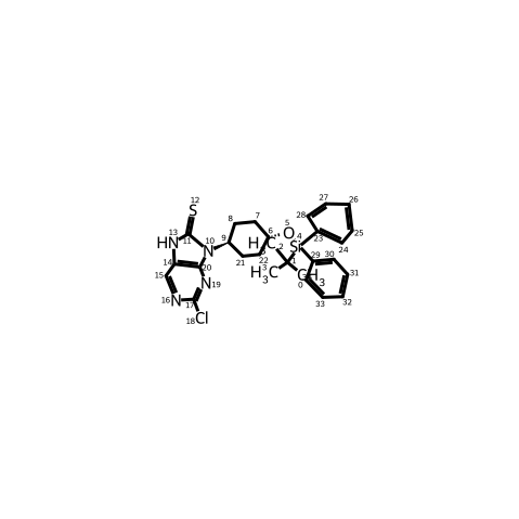 CC(C)(C)[Si](O[C@H]1CC[C@H](n2c(=S)[nH]c3cnc(Cl)nc32)CC1)(c1ccccc1)c1ccccc1